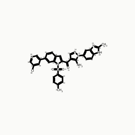 Cc1ccc(S(=O)(=O)n2c(C(=O)c3cnn(-c4ccc5[nH]c(C)nc5c4)c3N)cc3ccc(-c4cncc(Cl)c4)cc32)cc1